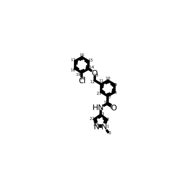 Cn1cc(NC(=O)c2cccc(COc3ccccc3Cl)c2)cn1